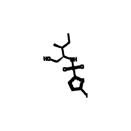 CC[C@H](C)[C@@H](CO)NS(=O)(=O)c1ccc(I)s1